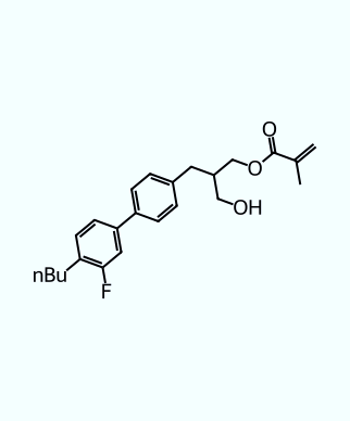 C=C(C)C(=O)OCC(CO)Cc1ccc(-c2ccc(CCCC)c(F)c2)cc1